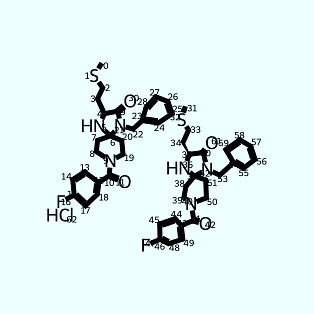 CSCCC1NC2(CCN(C(=O)c3ccc(F)cc3)CC2)N(Cc2ccccc2)C1=O.CSCC[C@@H]1NC2(CCN(C(=O)c3ccc(F)cc3)CC2)N(Cc2ccccc2)C1=O.Cl